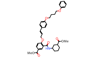 COC(=O)c1ccc(OC/C=C/c2ccc(OCCCCOc3ccccc3)cc2)c(C(=O)NC2CCCC(C(=O)OC)C2)c1